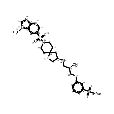 CNS(=O)(=O)c1cccc(OC[C@@H](O)CN[C@H]2COC3(CCN(S(=O)(=O)c4cnc5ncn(C)c5c4)CC3)C2)c1